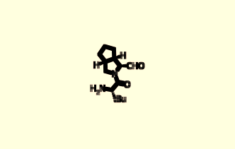 CC(C)(C)[C@H](N)C(=O)N1C[C@@H]2CCC[C@@H]2[C@H]1C=O